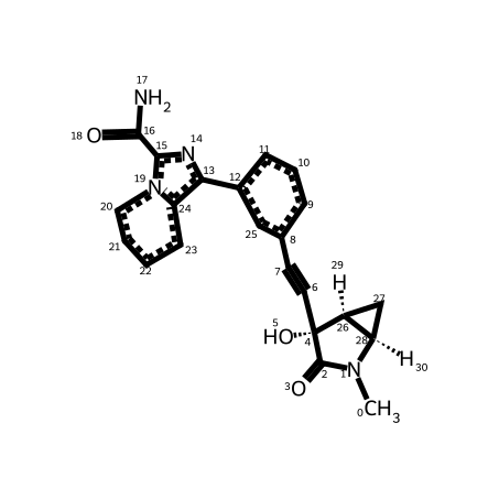 CN1C(=O)[C@@](O)(C#Cc2cccc(-c3nc(C(N)=O)n4ccccc34)c2)[C@H]2C[C@H]21